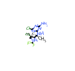 CC(C)(Nc1nc(N)nc(Cl)n1)c1nn(C(F)F)cc1Cl